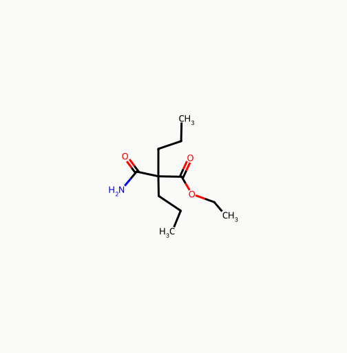 CCCC(CCC)(C(N)=O)C(=O)OCC